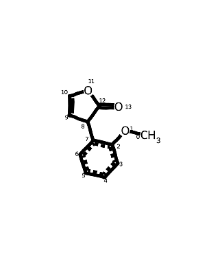 COc1ccccc1C1C=COC1=O